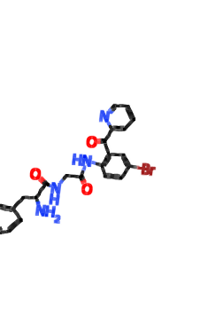 N[C@@H](Cc1ccccc1)C(=O)NCC(=O)Nc1ccc(Br)cc1C(=O)c1ccccn1